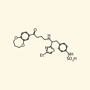 CCc1csc(C(Cc2[c]cc(NS(=O)(=O)O)cc2)NCCCC(=O)c2ccc3c(c2)OCCCO3)n1